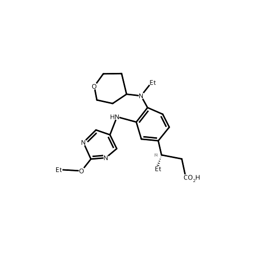 CCOc1ncc(Nc2cc([C@@H](CC)CC(=O)O)ccc2N(CC)C2CCOCC2)cn1